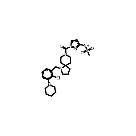 CS(=O)(=O)Nc1ccn(C(=O)N2CCC3(CCCN3Cc3cccc(N4CCCCC4)c3Cl)CC2)n1